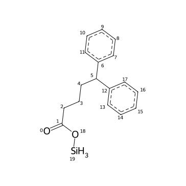 O=C(CCCC(c1ccccc1)c1ccccc1)O[SiH3]